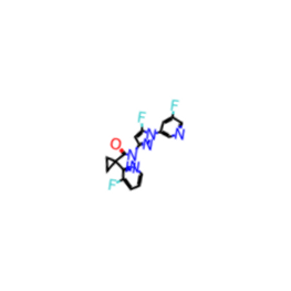 O=C(Nc1cc(F)n(-c2cncc(F)c2)n1)C1(c2ncccc2F)CC1